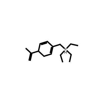 C=C(C)C1C=CC(C[PH](CC)(CC)CC)=CC1